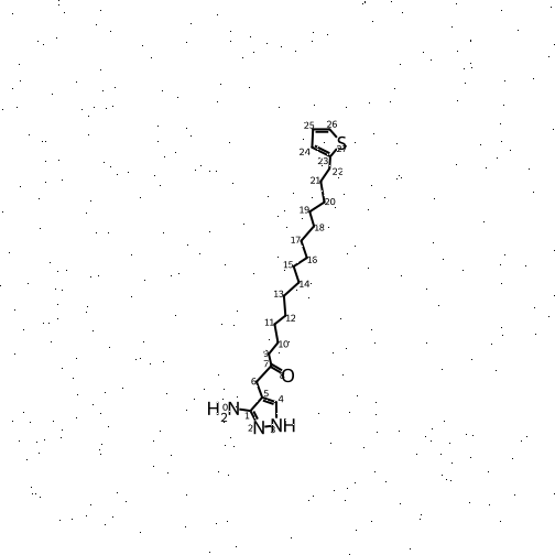 Nc1n[nH]cc1CC(=O)CCCCCCCCCCCCCCc1cccs1